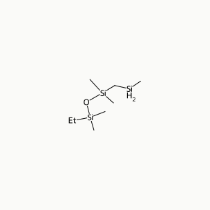 CC[Si](C)(C)O[Si](C)(C)C[SiH2]C